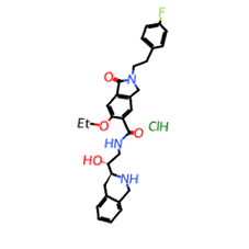 CCOc1cc2c(cc1C(=O)NC[C@@H](O)[C@@H]1Cc3ccccc3CN1)CN(CCc1ccc(F)cc1)C2=O.Cl